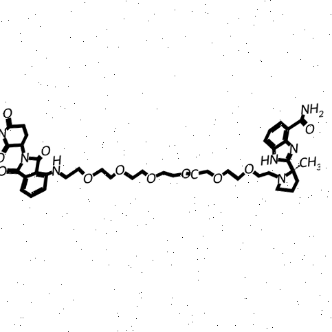 C[C@]1(c2nc3c(C(N)=O)cccc3[nH]2)CCCN1CCOCCOCCOCCOCCOCCOCCNc1cccc2c1C(=O)N(C1CCC(=O)NC1=O)C2=O